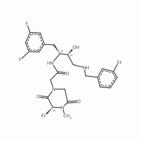 CCc1cccc(CNC[C@H](O)[C@H](Cc2cc(F)cc(F)c2)NC(=O)CN2CC(=O)N(C)[C@@H](CC)C2=O)c1